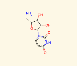 NC[C@H]1O[C@@H](n2ccc(=O)[nH]c2=O)[C@@H](O)C1O